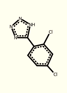 Clc1ccc(-c2nnn[nH]2)c(Cl)c1